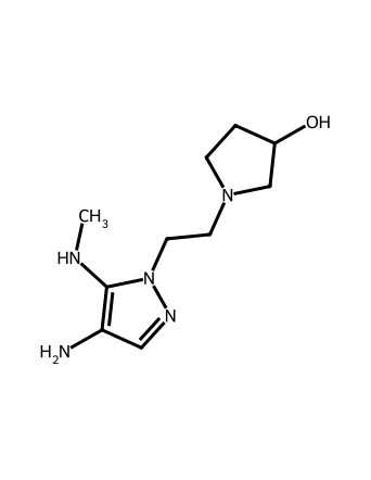 CNc1c(N)cnn1CCN1CCC(O)C1